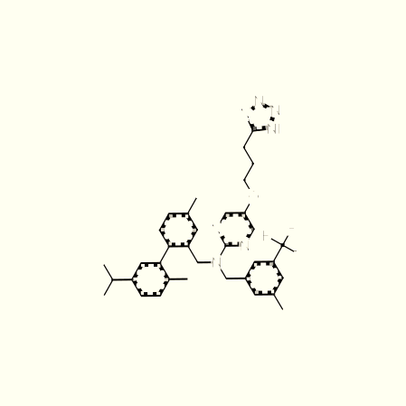 Cc1cc(CN(Cc2cc(C)ccc2-c2cc(C(C)C)ccc2C)c2ncc(OCCCc3nnn[nH]3)cn2)cc(C(F)(F)F)c1